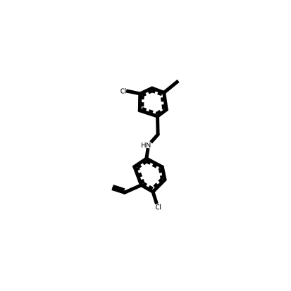 C=Cc1cc(NCc2cc(C)cc(Cl)c2)ccc1Cl